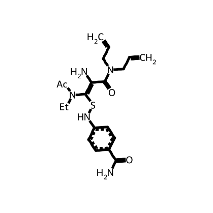 C=CCN(CC=C)C(=O)/C(N)=C(\SNc1ccc(C(N)=O)cc1)N(CC)C(C)=O